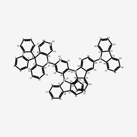 c1ccc(C2(c3ccccc3)c3ccccc3N(c3cc(-n4c5ccccc5c5ccccc54)c(-n4c5ccccc5c5cc(-n6c7ccccc7c7ccccc76)ccc54)cn3)c3cnccc32)cc1